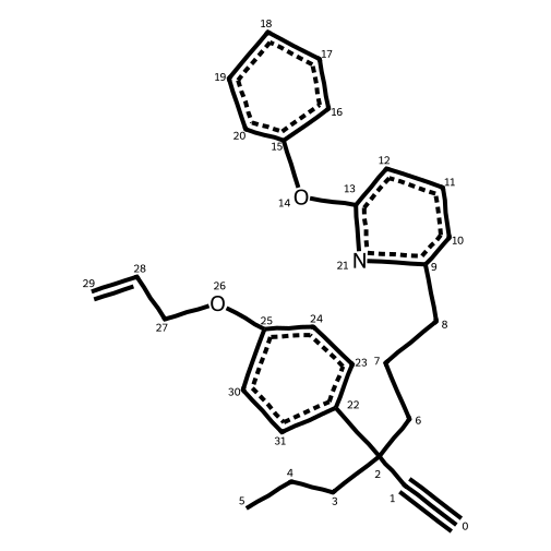 C#CC(CCC)(CCCc1cccc(Oc2ccccc2)n1)c1ccc(OCC=C)cc1